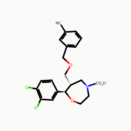 N#Cc1cccc(COC[C@@H]2CN(C(=O)O)CCO[C@H]2c2ccc(Cl)c(Cl)c2)c1